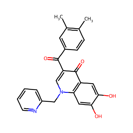 Cc1ccc(C(=O)c2cn(Cc3ccccn3)c3cc(O)c(O)cc3c2=O)cc1C